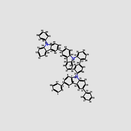 c1ccc(-c2ccc3c(c2)c2cc(-c4ccccc4)ccc2n3-c2ccc(-c3ccccc3-n3c4ccccc4c4cc(-c5ccc6c(c5)c5ccccc5n6-c5ccccc5)ccc43)cc2)cc1